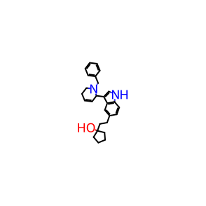 OC1(CCc2ccc3[nH]cc(C4C=CCCN4Cc4ccccc4)c3c2)CCCC1